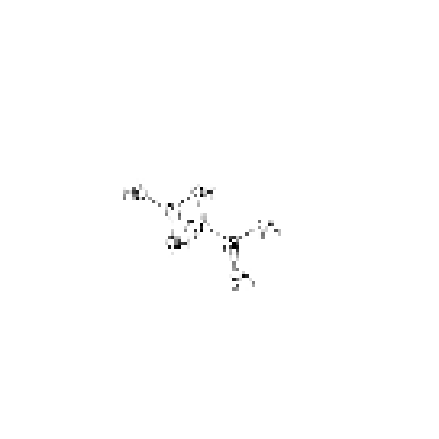 FC(F)(F)[SiH](C(F)(F)F)C(F)(F)F.OP(O)O